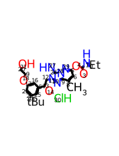 CCNC(=O)Oc1cc(C)c2nn(CC(=O)c3cc(OCCO)cc(C(C)(C)C)c3)c(=N)n2n1.Cl